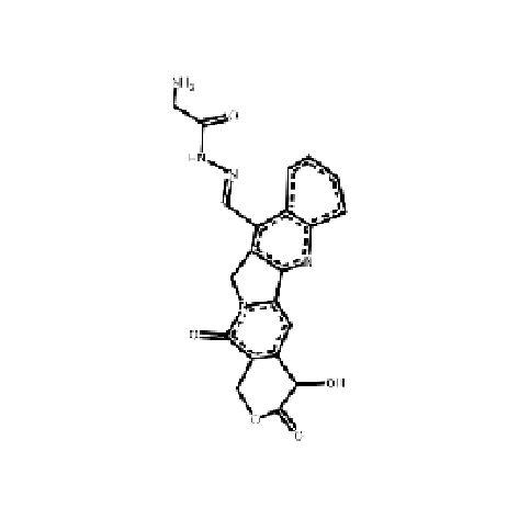 NCC(=O)N/N=C/c1c2c(nc3ccccc13)-c1cc3c(c(=O)n1C2)COC(=O)C3O